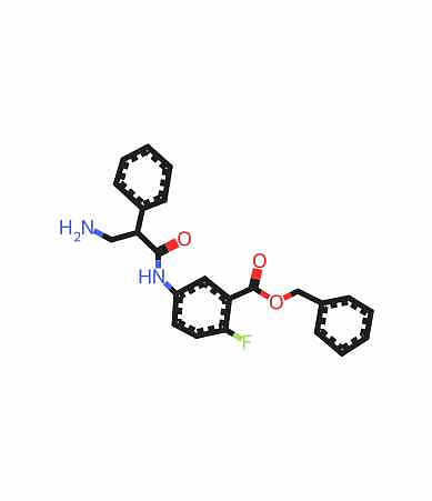 NCC(C(=O)Nc1ccc(F)c(C(=O)OCc2ccccc2)c1)c1ccccc1